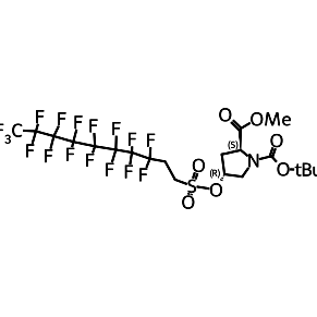 COC(=O)[C@@H]1C[C@@H](OS(=O)(=O)CCC(F)(F)C(F)(F)C(F)(F)C(F)(F)C(F)(F)C(F)(F)C(F)(F)C(F)(F)F)CN1C(=O)OC(C)(C)C